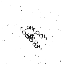 COC(=O)c1ccc(OC)c(OCCc2cc(C)ccc2F)c1.Cc1ccc(F)c(CCO)c1